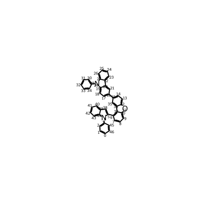 c1ccc(-n2c(-c3cccc4oc5ccc(-c6ccc7c(c6)c6ccccc6n7-c6ccccc6)cc5c34)cc3ccccc32)cc1